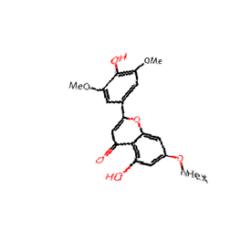 CCCCCCOc1cc(O)c2c(=O)cc(-c3cc(OC)c(O)c(OC)c3)oc2c1